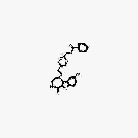 O=C(OC[C@@H]1CO[C@H](CCN2CCNC(=O)c3oc4ccc(C(F)(F)F)cc4c32)CO1)c1ccccc1